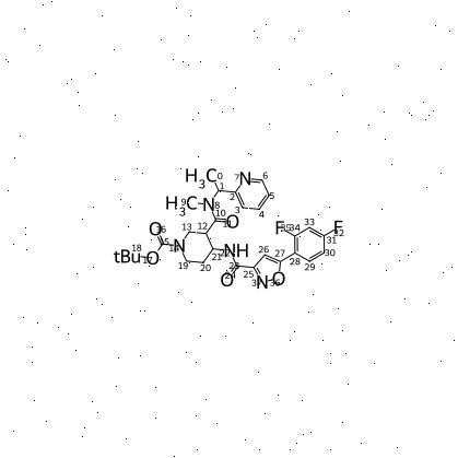 CC(c1ccccn1)N(C)C(=O)C1CN(C(=O)OC(C)(C)C)CCC1NC(=O)c1cc(-c2ccc(F)cc2F)on1